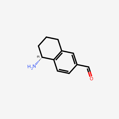 N[C@@H]1CCCc2cc(C=O)ccc21